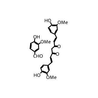 COc1cc(/C=C/C(=O)CC(=O)/C=C/c2ccc(O)c(OC)c2)ccc1O.COc1cc(C=O)ccc1O